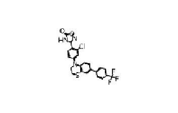 O=c1[nH]c(-c2ccc(N3CCSc4cc(-c5ccc(C(F)(F)F)cc5)ccc43)cc2Cl)no1